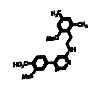 COc1cc(C)cc(C)c1CCNc1cc(-c2ccc(C(=O)O)c(SC)c2)ncn1